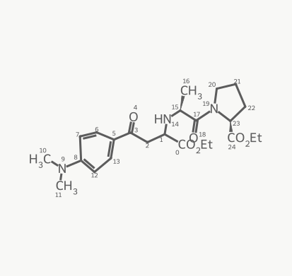 CCOC(=O)C(CC(=O)c1ccc(N(C)C)cc1)N[C@@H](C)C(=O)N1CCC[C@H]1C(=O)OCC